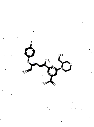 C=C/C(=C\C=C(/C)c1nc(C(N)=O)cc(N2CCOCC2CO)n1)Oc1ccc(F)cc1